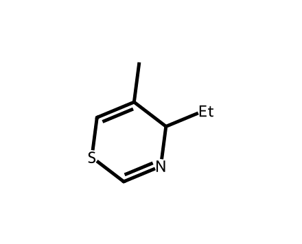 CCC1N=CSC=C1C